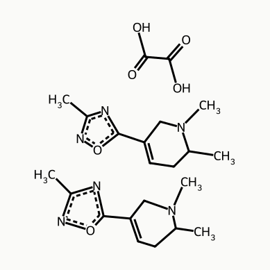 Cc1noc(C2=CCC(C)N(C)C2)n1.Cc1noc(C2=CCC(C)N(C)C2)n1.O=C(O)C(=O)O